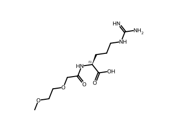 COCCOCC(=O)N[C@@H](CCCNC(=N)N)C(=O)O